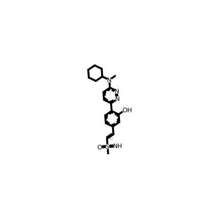 CN(c1ccc(-c2ccc(/C=C/S(C)(=N)=O)cc2O)nn1)C1CCCCC1